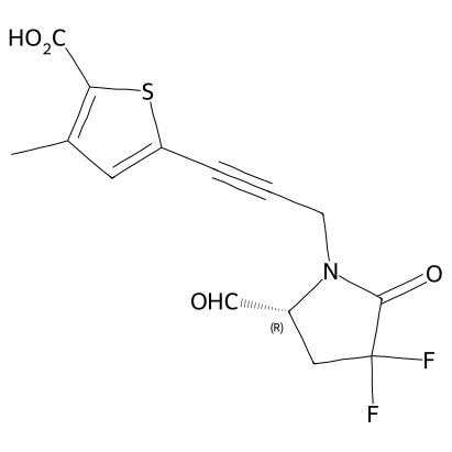 Cc1cc(C#CCN2C(=O)C(F)(F)C[C@@H]2C=O)sc1C(=O)O